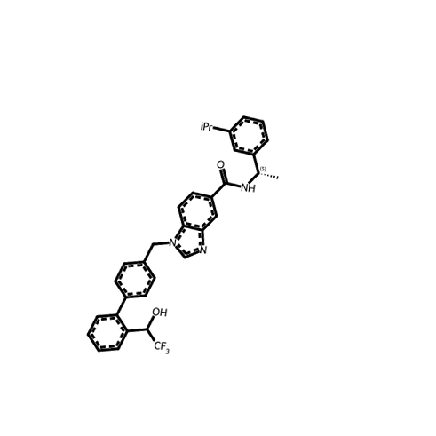 CC(C)c1cccc([C@H](C)NC(=O)c2ccc3c(c2)ncn3Cc2ccc(-c3ccccc3C(O)C(F)(F)F)cc2)c1